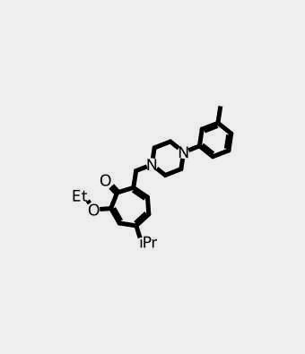 CCOc1cc(C(C)C)ccc(CN2CCN(c3cccc(C)c3)CC2)c1=O